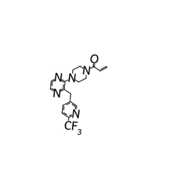 C=CC(=O)N1CCN(c2nccnc2Cc2ccc(C(F)(F)F)nc2)CC1